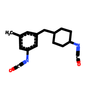 Cc1cc(CC2CCC(N=C=O)CC2)cc(N=C=O)c1